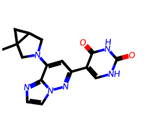 CC12CC1CN(c1cc(-c3c[nH]c(=O)[nH]c3=O)nn3ccnc13)C2